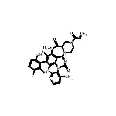 C=CC(=O)N1CCN2c3nc(=O)n(-c4c(C)ccnc4C(C)C)c4c(F)c(-c5c(O)ccc(F)c5F)c(F)c(c34)N(C)C(=O)C2C1